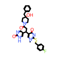 Cn1cc(C(CC(=O)N2CCC(O)(Cc3ccccc3)CC2)c2cnc(=O)[nH]c2)c(=O)nc1SCc1ccc(F)cc1